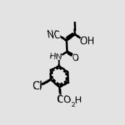 C/C(O)=C(\C#N)C(=O)Nc1ccc(C(=O)O)c(Cl)c1